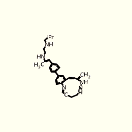 C=C1/C=C\c2cc(-c3ccc(/C=C(\C)NCCNCC(C)C)cc3)ccc2/N=C/CCCCNN1